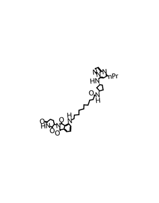 CCCc1cc(N[C@@H]2CC[C@@H](NC(=O)CCCCCCCCCNc3cccc4c3C(=O)N(C3CCC(=O)NC3=O)C4=O)C2)n2nccc2n1